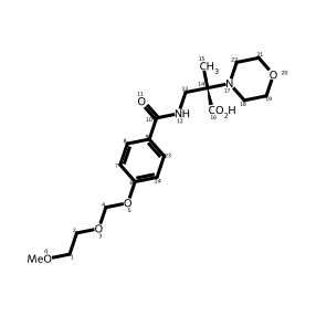 COCCOCOc1ccc(C(=O)NC[C@@](C)(C(=O)O)N2CCOCC2)cc1